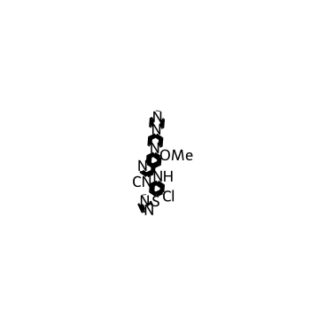 COc1cc2c(Nc3ccc(Sc4nccn4C)c(Cl)c3)c(C#N)cnc2cc1N1CCC(N2CCN(C)CC2)CC1